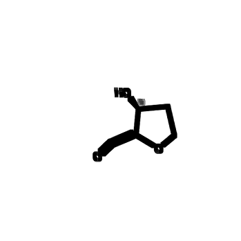 O=C=C1OCC[C@@H]1O